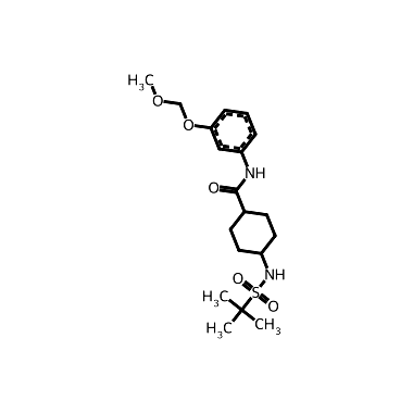 COCOc1cccc(NC(=O)C2CCC(NS(=O)(=O)C(C)(C)C)CC2)c1